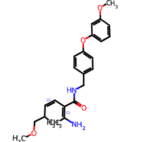 COCC(C)/C=C\C(C(=O)NCc1ccc(Oc2cccc(OC)c2)cc1)=C(/C)N